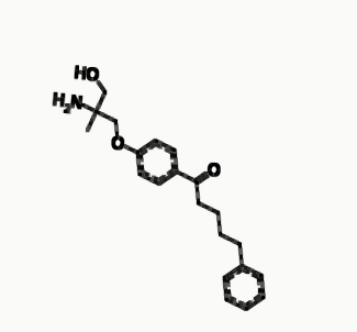 CC(N)(CO)COc1ccc(C(=O)CCCCc2ccccc2)cc1